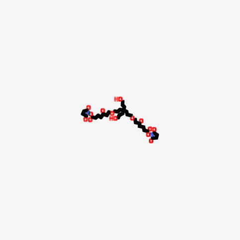 O=C(CCCC(=O)ON1C(=O)CCC1=O)CCOCCCC(CCCO)(CCCO)CCCOCCC(=O)CCCC(=O)ON1C(=O)CCC1=O